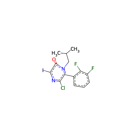 CC(C)Cn1c(-c2cccc(F)c2F)c(Cl)nc(I)c1=O